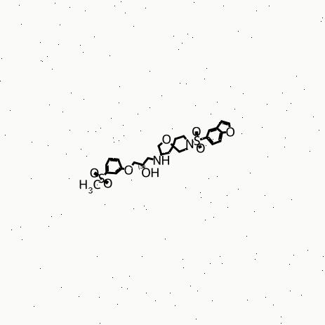 CS(=O)(=O)c1cccc(OC[C@@H](O)CNC2COC3(CCN(S(=O)(=O)c4ccc5occc5c4)CC3)C2)c1